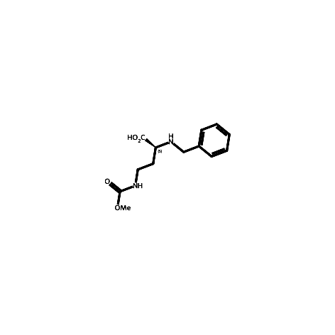 COC(=O)NCC[C@H](NCc1ccccc1)C(=O)O